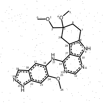 COCC1(OC)CCc2[nH]c3ncnc(Nc4cc5cn[nH]c5cc4OC)c3c2C1